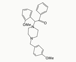 COc1ccc(CN2CCN(C(C(=O)c3ccccc3)c3ccccc3OC)CC2)cc1